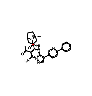 CNC(=O)N1C2CC[C@H]1C[C@@H](c1nc3c(-c4ccc(-c5ccccc5)nc4)cnn3c(N)c1C(C)=O)C2